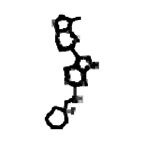 Cc1cnc2ccc(-c3c[nH]c4nc(NCC5(F)CCCCC5)ncc34)nn12